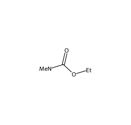 CCOC(=O)NC